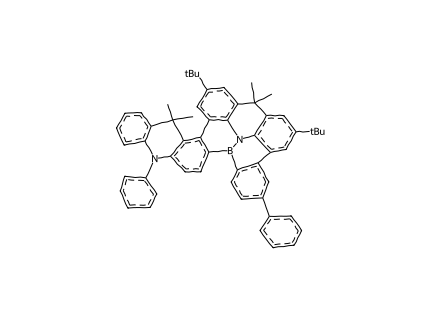 CC(C)(C)c1cc2c3c(c1)C(C)(C)c1cc(C(C)(C)C)cc4c1N3B(c1ccc(-c3ccccc3)cc1-2)c1ccc2c(c1-4)C(C)(C)c1ccccc1N2c1ccccc1